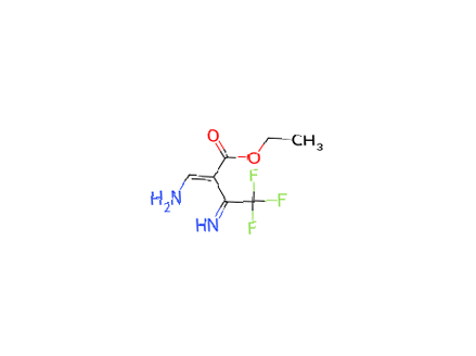 CCOC(=O)/C(=C/N)C(=N)C(F)(F)F